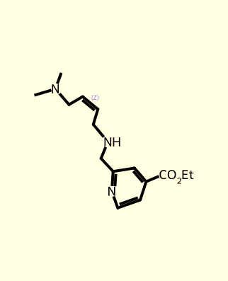 CCOC(=O)c1ccnc(CNC/C=C\CN(C)C)c1